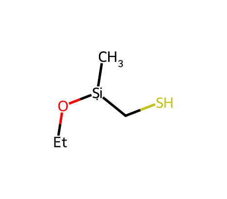 CCO[Si](C)CS